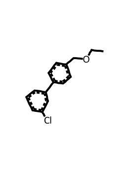 CCOCc1ccc(-c2cccc(Cl)c2)cc1